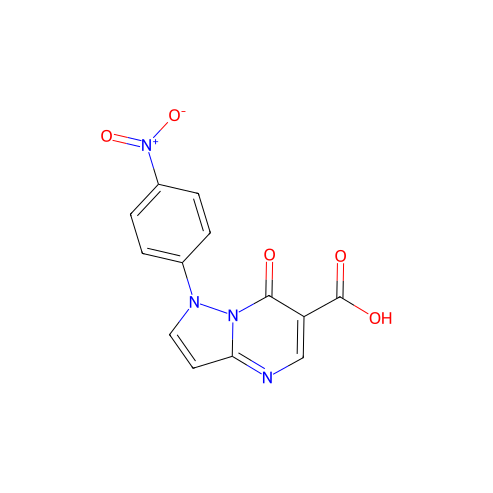 O=C(O)c1cnc2ccn(-c3ccc([N+](=O)[O-])cc3)n2c1=O